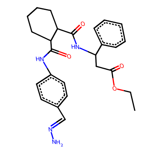 CCOC(=O)CC(NC(=O)C1CCCCC1C(=O)Nc1ccc(C=NN)cc1)c1ccccc1